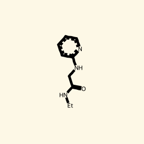 CCNC(=O)CNc1ccccn1